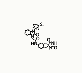 CSc1csc(-n2c(=O)n(CC(=O)Nc3ccc4c(c3)CC3(C4)C(=O)NC(=O)N3C)c3ccccc32)n1